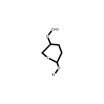 CCOC1CCC(O[C]=O)CC1